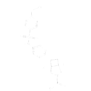 CCC(=O)N1C[C@@H]2C[C@@H](c3ccc(NS(=O)(=O)c4ccc(SC(F)(F)F)cc4)cc3)[C@@H]2C1